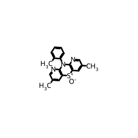 Cc1cnc2c(c1)[S+]([O-])c1cc(C)cnc1N2c1ccccc1C